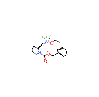 CCON=C=C1CCCN1C(=O)OCc1ccccc1.Cl